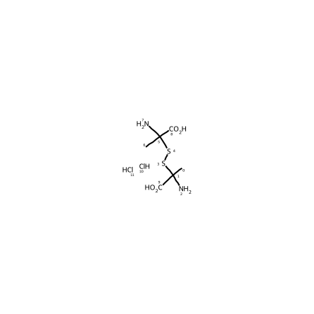 CC(N)(SSC(C)(N)C(=O)O)C(=O)O.Cl.Cl